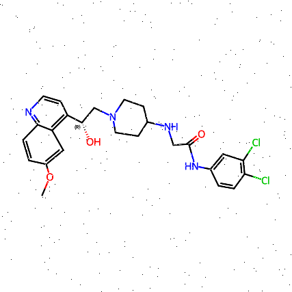 COc1ccc2nccc([C@@H](O)CN3CCC(NCC(=O)Nc4ccc(Cl)c(Cl)c4)CC3)c2c1